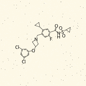 O=C(NS(=O)(=O)C1CC1)c1cc(C2CC2)c(CN2CC(Oc3cc(Cl)cc(Cl)c3)C2)cc1F